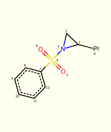 CC(C)C1CN1S(=O)(=O)c1ccccc1